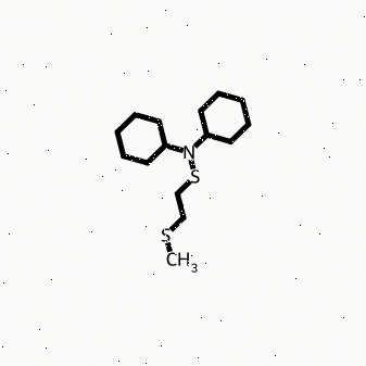 CSCCSN(C1CCCCC1)C1CCCCC1